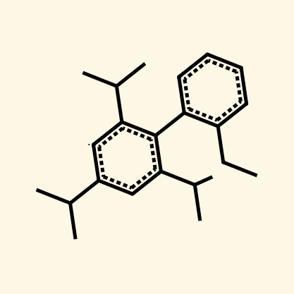 CCc1ccccc1-c1c(C(C)C)[c]c(C(C)C)cc1C(C)C